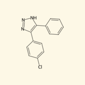 Clc1ccc(-c2nn[nH]c2-c2ccccc2)cc1